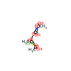 COc1c(OCCCOc2cc3c(c(F)c2O)CN(C(=O)CC(C)C(=O)O)C3)cc2cc(C(=O)CC(C)C(=O)O)sc2c1Cl